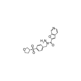 NN(Cc1ccc(S(=O)(=O)[C@H]2CCOC2)cc1)C(=O)c1cc2ccncc2o1